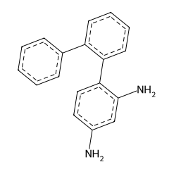 Nc1ccc(-c2ccccc2-c2ccccc2)c(N)c1